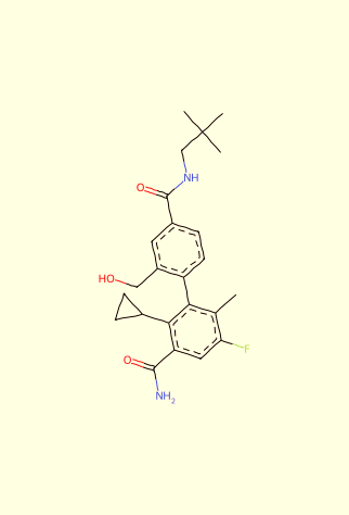 Cc1c(F)cc(C(N)=O)c(C2CC2)c1-c1ccc(C(=O)NCC(C)(C)C)cc1CO